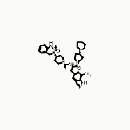 Cc1cc(CC(NC(=O)N2CCC(N3Cc4ccccc4NS3(=O)=O)CC2)C(=O)N2CCC(N3CCCCC3)CC2)cc2cn[nH]c12